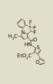 CCOC(=O)c1c(-c2ccco2)csc1NC(=O)c1cc(C)n2c1C(F)C(F)(F)c1ccccc1-2